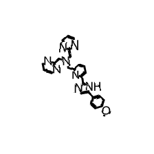 COc1ccc(-c2cnc(-c3cccc(CN(Cc4ncccn4)Cc4ncccn4)n3)[nH]2)cc1